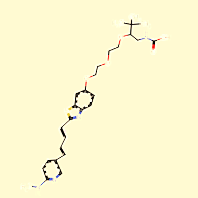 CNc1ccc(/C=C/C=C/c2nc3ccc(OCCOCCOC(CNC(=O)O)C(C)(C)C)cc3s2)cn1